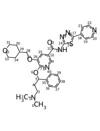 CN(C)CCC(Oc1ncc(C(=O)Nc2nnc(-c3ccncc3)s2)cc1OCC1CCOCC1)c1ccccc1